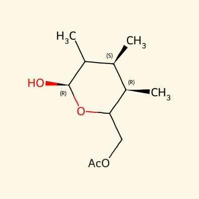 CC(=O)OCC1O[C@@H](O)C(C)[C@@H](C)[C@H]1C